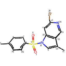 Cc1ccc(S(=O)(=O)n2cc(C)c3cnc(Br)cc32)cc1